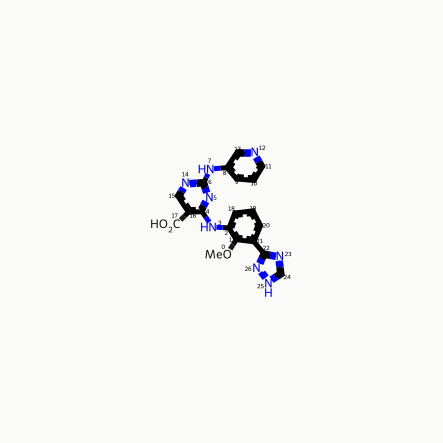 COc1c(Nc2nc(Nc3cccnc3)ncc2C(=O)O)cccc1-c1nc[nH]n1